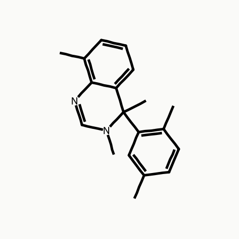 Cc1ccc(C)c(C2(C)c3cccc(C)c3N=CN2C)c1